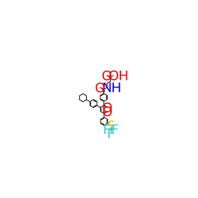 O=C(O)CCNC(=O)c1ccc(C(=O)/C(=C\C(=O)c2cccc(SC(F)(F)F)c2)c2ccc(C3CCCCC3)cc2)cc1